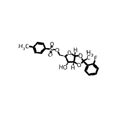 Cc1ccc(S(=O)(=O)OC[C@H]2O[C@@H]3OC(C)(c4ccccc4F)O[C@@H]3[C@H]2O)cc1